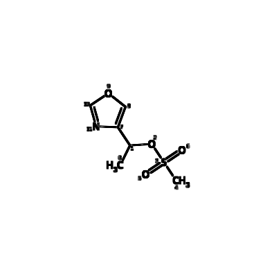 CC(OS(C)(=O)=O)c1cocn1